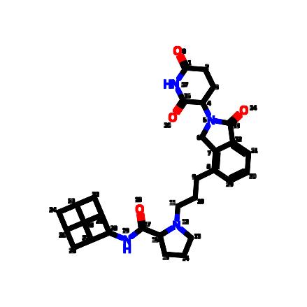 O=C1CCC(N2Cc3c(CCCN4CCCC4C(=O)NC4C5CC6CC7CC4C675)cccc3C2=O)C(=O)N1